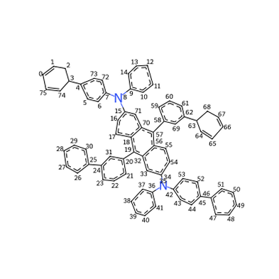 C1=CCC(c2ccc(N(c3ccccc3)c3ccc4c(-c5cccc(-c6ccccc6)c5)c5cc(N(c6ccccc6)c6ccc(-c7ccccc7)cc6)ccc5c(-c5cccc(C6C=CC=CC6)c5)c4c3)cc2)C=C1